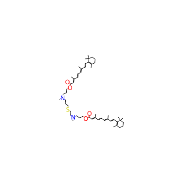 CC1=C(/C=C/C(C)=C/C=C/C(C)=C/C(=O)OCCCN(C)CCCSCCN(C)CCCOC(=O)/C=C(C)/C=C/C=C(C)/C=C/C2=C(C)CCCC2(C)C)C(C)(C)CCC1